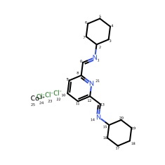 C(=NC1CCCCC1)c1cccc(C=NC2CCCCC2)n1.[Cl-].[Cl-].[Cl-].[Co+3]